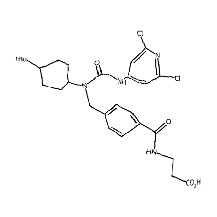 CC(C)(C)C1CCC(N(Cc2ccc(C(=O)NCCC(=O)O)cc2)C(=O)Nc2cc(Cl)nc(Cl)c2)CC1